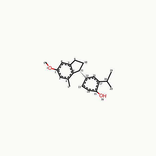 COc1cc(C)c2c(c1)CC[C@@H]2c1ccc(O)c(C(C)C)c1